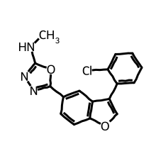 CNc1nnc(-c2ccc3occ(-c4ccccc4Cl)c3c2)o1